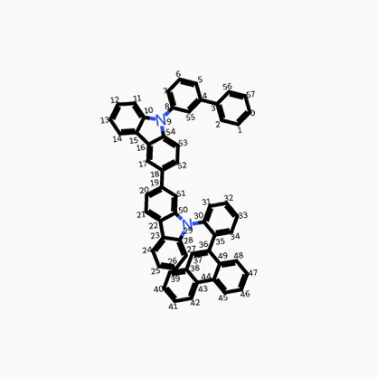 c1ccc(-c2cccc(-n3c4ccccc4c4cc(-c5ccc6c7ccccc7n(-c7ccccc7-c7cc8ccccc8c8ccccc78)c6c5)ccc43)c2)cc1